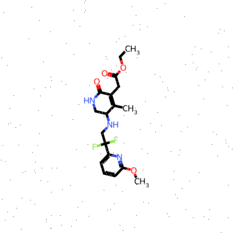 CCOC(=O)CC1=C(C)C(NCC(F)(F)c2cccc(OC)n2)CNC1=O